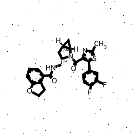 Cc1nc(C(=O)N2[C@H](CNC(=O)c3cccc4c3CCO4)C[C@@H]3C[C@@H]32)c(-c2ccc(F)c(F)c2)s1